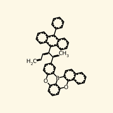 C=C/C=C(\C(=C/C)c1ccc2c(c1)B1c3ccc4ccccc4c3Oc3cccc(c31)O2)c1c2ccccc2c(-c2ccccc2)c2ccccc12